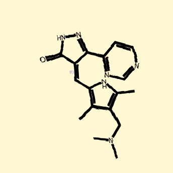 Cc1[nH]c(/C=C2/C(=O)NN=C2c2ccncn2)c(C)c1CN(C)C